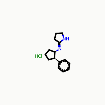 Cl.c1ccc([C@H]2CCC[C@H]2N=C2CCCN2)cc1